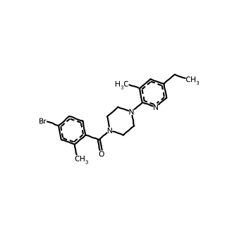 CCc1cnc(N2CCN(C(=O)c3ccc(Br)cc3C)CC2)c(C)c1